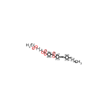 C=CC(=O)OCCCCOC(=O)Oc1ccc(C(=O)Oc2ccc(C#Cc3ccc(CCCCC)cc3)cc2)cc1